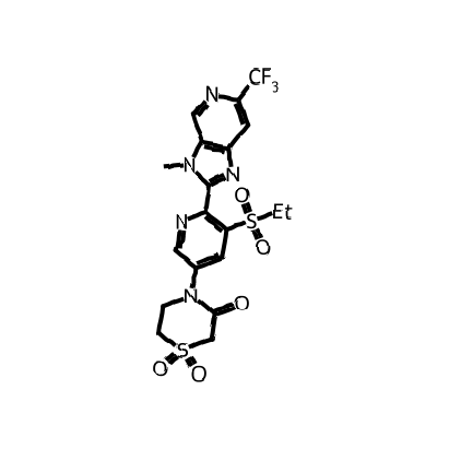 CCS(=O)(=O)c1cc(N2CCS(=O)(=O)CC2=O)cnc1-c1nc2cc(C(F)(F)F)ncc2n1C